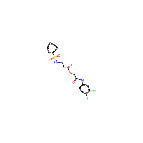 O=C(COC(=O)CCNS(=O)(=O)c1ccccc1)Nc1ccc(F)c(Cl)c1